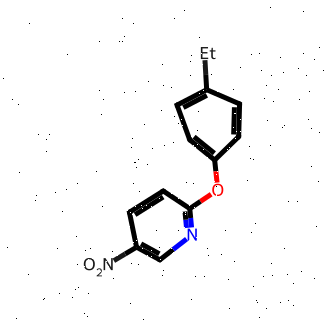 CCc1ccc(Oc2ccc([N+](=O)[O-])cn2)cc1